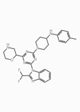 Cc1ccc(NC2CCN(c3nc(C4CNCCO4)nc(-n4c(C(F)F)nc5ccccc54)n3)CC2)cc1